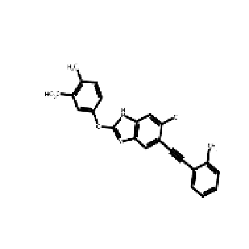 Cc1ccccc1C#Cc1cc2nc(Oc3ccc(C)c(C(=O)O)c3)[nH]c2cc1Cl